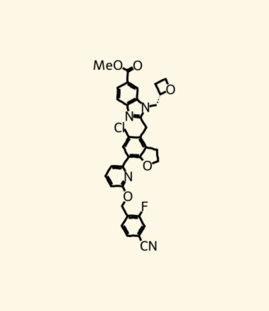 COC(=O)c1ccc2nc(Cc3c(Cl)cc(-c4cccc(OCc5ccc(C#N)cc5F)n4)c4c3CCO4)n(C[C@@H]3CCO3)c2c1